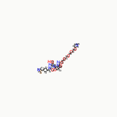 Cc1ncsc1-c1ccc([C@H](C)NC(=O)[C@@H]2C[C@@H](O)CN2C(=O)[C@@H](NC(=O)COCCOCCOCCOCCO[C@@H]2CCN(C)C2)C(C)(C)C)cc1